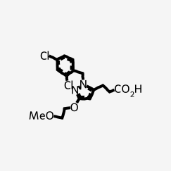 COCCOc1cc(CCC(=O)O)n(Cc2ccc(Cl)cc2Cl)n1